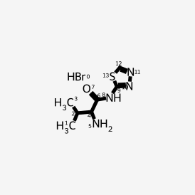 Br.CC(C)C(N)C(=O)Nc1nncs1